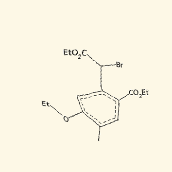 CCOC(=O)c1cc(I)c(OCC)cc1C(Br)C(=O)OCC